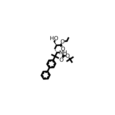 CCOC(=O)[C@H](CO)C[C@H](NC(=O)OC(C)(C)C)C(C)(C)c1ccc(-c2ccccc2)cc1